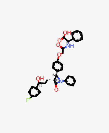 O=C(COc1ccc([C@@H]2[C@@H](CC[C@H](O)c3ccc(F)cc3)C(=O)N2c2ccccc2)cc1)N[C@@H](C(=O)O)c1ccccc1